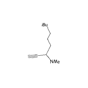 C#CC(CCCC(C)CC)NC